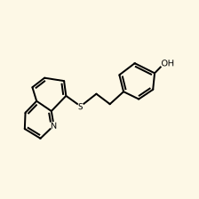 Oc1ccc(CCSc2cccc3cccnc23)cc1